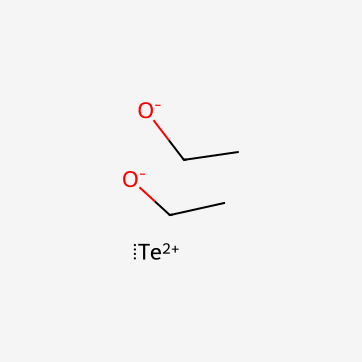 CC[O-].CC[O-].[Te+2]